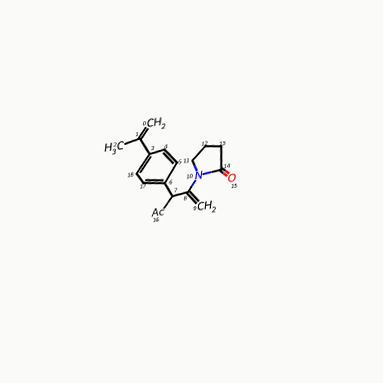 C=C(C)c1ccc(C(C(=C)N2CCCC2=O)C(C)=O)cc1